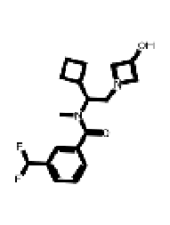 CN(C(=O)c1cccc(C(F)F)c1)C(CN1CC(O)C1)C1CCC1